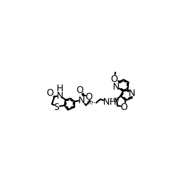 COc1ccc2ncc3c(c2n1)[C@@H](CNCC[C@@H]1CN(c2ccc4c(c2)NC(=O)CS4)C(=O)O1)CO3